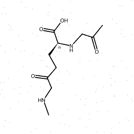 CNCC(=O)CC[C@H](NCC(C)=O)C(=O)O